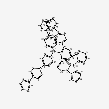 c1ccc(-c2ccc(-c3ccc(N(c4ccc(-c5ccccc5)cc4)c4ccc(-c5ccccc5-n5c6ccccc6c6ccccc65)cc4-c4ccc5c(c4)sc4ccccc45)cc3)cc2)cc1